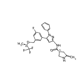 C=C1C[C@H](C(=O)Nc2cc(-c3cc(F)cc(CO[C@H](C)C(F)(F)F)c3)n(-c3ccccc3)n2)CN1